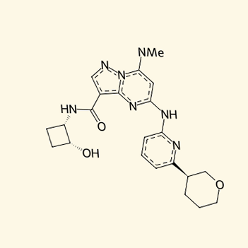 CNc1cc(Nc2cccc([C@@H]3CCCOC3)n2)nc2c(C(=O)N[C@H]3CC[C@H]3O)cnn12